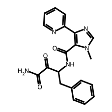 Cn1cnc(-c2ccccn2)c1C(=O)NC(Cc1ccccc1)C(=O)C(N)=O